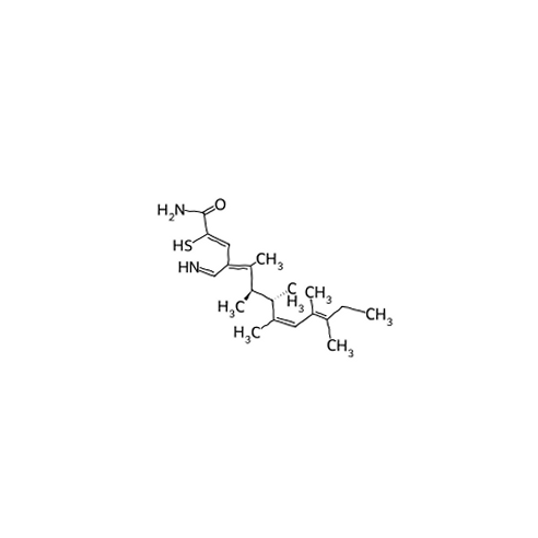 CC/C(C)=C(C)/C=C(/C)[C@@H](C)[C@@H](C)/C(C)=C(C=N)/C=C(\S)C(N)=O